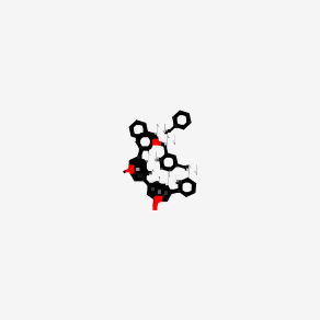 Cc1ccc2c(c1)c1ccccc1n2-c1c(C#N)cc(-c2cc(-c3ccccc3)nc(-c3ccccc3)n2)c(-n2c3ccccc3c3cc(C)ccc32)c1-n1c2ccccc2c2cc(C)ccc21